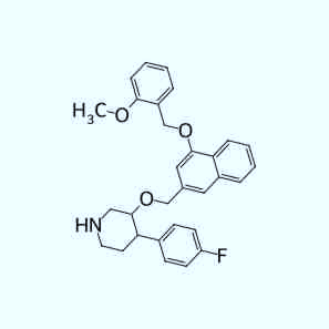 COc1ccccc1COc1cc(COC2CNCCC2c2ccc(F)cc2)cc2ccccc12